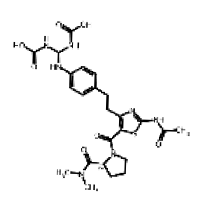 CC(=O)Nc1nc(CCc2ccc(NC(NC(=O)O)NC(=O)O)cc2)c(C(=O)N2CCC[C@H]2C(=O)N(C)C)s1